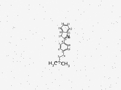 CC(C)CCc1ccc(C2=Nc3ccccc3C2)cc1